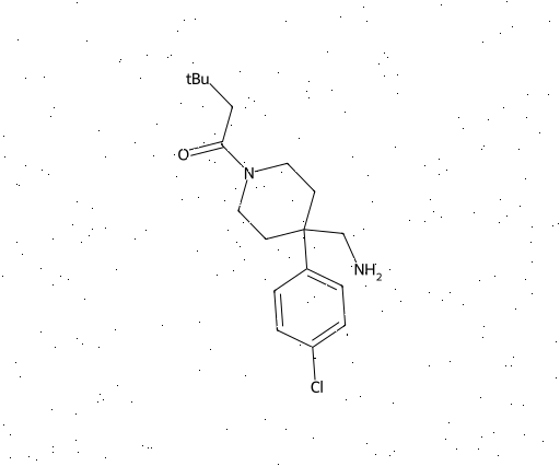 CC(C)(C)CC(=O)N1CCC(CN)(c2ccc(Cl)cc2)CC1